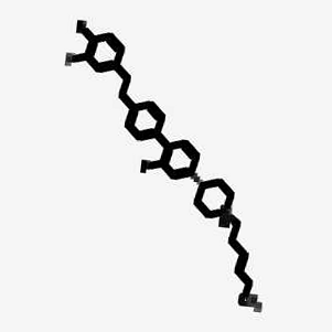 CCC=CCC[Si@H]1CC[C@H](c2ccc(-c3ccc(CCc4ccc(F)c(F)c4)cc3)c(F)c2)CC1